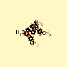 Cc1ccc(N(c2ccc(C)cc2)c2ccc(N(c3ccc(C)cc3)c3ccc(C)cc3)c(-c3ccccc3)c2-c2ccccc2)cc1